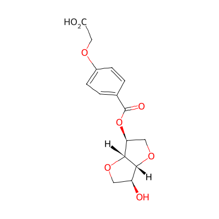 O=C(O)COc1ccc(C(=O)O[C@H]2CO[C@H]3[C@@H]2OC[C@@H]3O)cc1